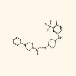 Cc1ncc(NC2CCC(OCC(=O)N3CCN(c4ccccc4)CC3)CC2)nc1C(F)(F)F